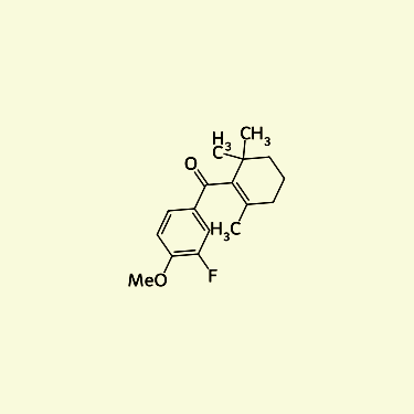 COc1ccc(C(=O)C2=C(C)CCCC2(C)C)cc1F